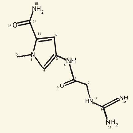 Cn1cc(NC(=O)CNC(=N)N)cc1C(N)=O